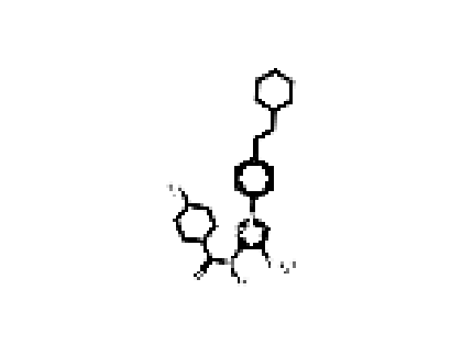 CC1CCC(C(=O)N(c2nn(-c3ccc(CCC4CCCCC4)cc3)cc2C(=O)O)C(C)C)CC1